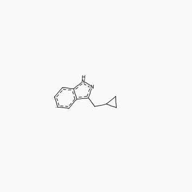 [c]1ccc2[nH]nc(CC3CC3)c2c1